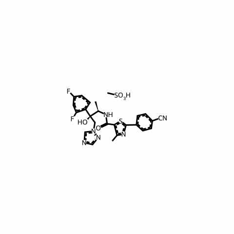 CS(=O)(=O)O.Cc1nc(-c2ccc(C#N)cc2)sc1C(=O)N[C@H](C)[C@](O)(Cn1cncn1)c1ccc(F)cc1F